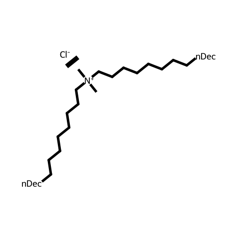 C=C.CCCCCCCCCCCCCCCCCC[N+](C)(C)CCCCCCCCCCCCCCCCCC.[Cl-]